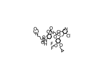 O=C(Cn1c(=O)oc2cc(NS(=O)(=O)CCCN3CCOCC3)ccc21)O[C@@H](Cc1c(Cl)cncc1Cl)c1ccc(OC(F)F)c(OCC2CC2)c1